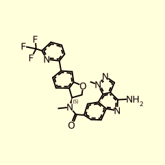 CN(C(=O)c1ccc2nc(N)c3cnn(C)c3c2c1)[C@@H]1COc2cc(-c3cccc(C(F)(F)F)n3)ccc21